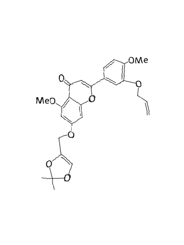 C=CCOc1cc(-c2cc(=O)c3c(OC)cc(OCC4=COC(C)(C)O4)cc3o2)ccc1OC